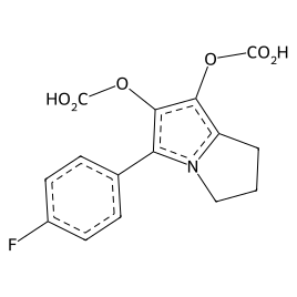 O=C(O)Oc1c(OC(=O)O)c(-c2ccc(F)cc2)n2c1CCC2